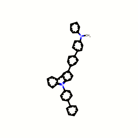 CN(c1ccccc1)c1ccc(-c2ccc(-c3ccc4c(c3)c3ccccc3n4-c3ccc(-c4ccccc4)cc3)cc2)cc1